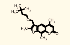 Cc1oc2c(C)c3oc(=O)cc(C)c3cc2c1COCCC(C)(C)C